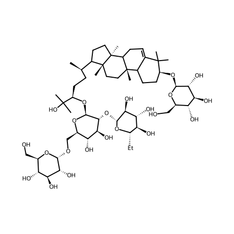 CC[C@@H]1O[C@H](O[C@H]2[C@H](O[C@H](CC[C@@H](C)C3CC[C@@]4(C)C5CC=C6C(CC[C@H](O[C@@H]7O[C@H](CO)[C@@H](O)[C@H](O)[C@H]7O)C6(C)C)[C@]5(C)CC[C@]34C)C(C)(C)O)O[C@H](CO[C@H]3O[C@H](CO)[C@@H](O)[C@H](O)[C@H]3O)[C@@H](O)[C@@H]2O)[C@@H](O)[C@H](O)[C@H]1O